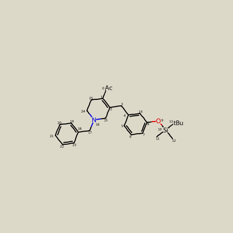 CC(=O)C1=C(Cc2cccc(O[Si](C)(C)C(C)(C)C)c2)CN(Cc2ccccc2)CC1